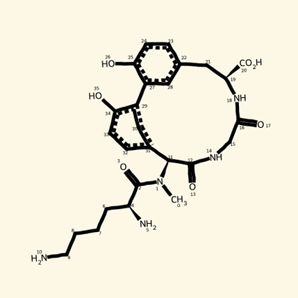 CN(C(=O)[C@@H](N)CCCCN)[C@@H]1C(=O)NCC(=O)N[C@H](C(=O)O)Cc2ccc(O)c(c2)-c2cc1ccc2O